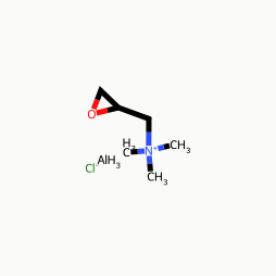 C[N+](C)(C)CC1CO1.[AlH3].[Cl-]